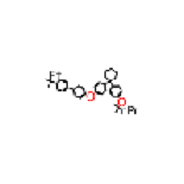 CCCC(C)(C)Oc1ccc(C2(c3ccc(Oc4ccc(-c5ccc(C(C)(C)CC)cc5)cc4)cc3)CCCCC2)cc1